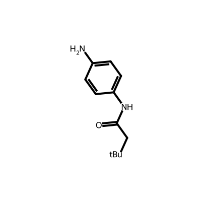 CC(C)(C)CC(=O)Nc1ccc(N)cc1